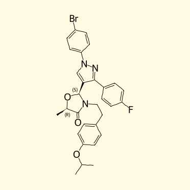 CC(C)Oc1ccc(CCN2C(=O)[C@@H](C)O[C@H]2c2cn(-c3ccc(Br)cc3)nc2-c2ccc(F)cc2)cc1